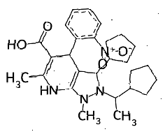 CC1=C(C(=O)O)C(c2ccccc2[N+](=O)[O-])C2=C(N1)N(C)N(C(C)C1CCCC1)C2C1CCCC1